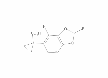 O=C(O)C1(c2ccc3c(c2F)OC(F)O3)CC1